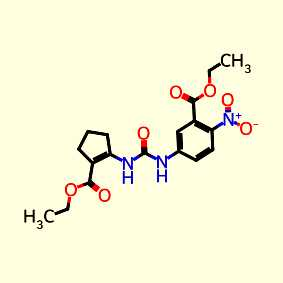 CCOC(=O)C1=C(NC(=O)Nc2ccc([N+](=O)[O-])c(C(=O)OCC)c2)CCC1